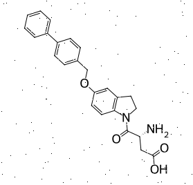 N[C@H](CC(=O)O)C(=O)N1CCc2cc(OCc3ccc(-c4ccccc4)cc3)ccc21